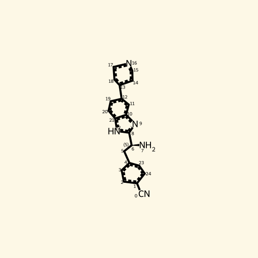 N#Cc1ccc(C[C@H](N)c2nc3cc(-c4ccncc4)ccc3[nH]2)cc1